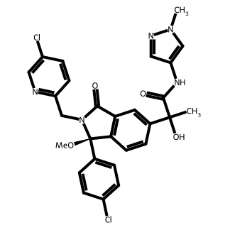 CO[C@]1(c2ccc(Cl)cc2)c2ccc(C(C)(O)C(=O)Nc3cnn(C)c3)cc2C(=O)N1Cc1ccc(Cl)cn1